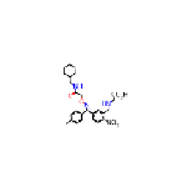 Cc1ccc(/C(=N\OCC(=O)NCC2CCCCC2)c2ccc([N+](=O)[O-])c(CNCC(=O)O)c2)cc1